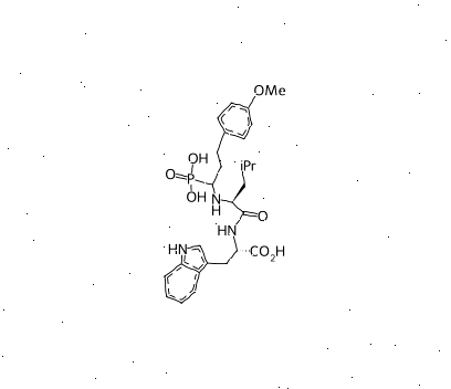 COc1ccc(CCC(N[C@@H](CC(C)C)C(=O)N[C@@H](Cc2c[nH]c3ccccc23)C(=O)O)P(=O)(O)O)cc1